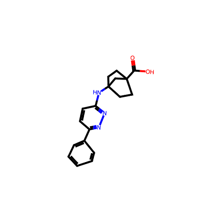 O=C(O)C12CCC(Nc3ccc(-c4ccccc4)nn3)(CC1)C2